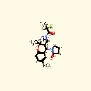 CC1(C)Oc2ccc([N+](=O)[O-])cc2C(N2CCCC2=O)=C1CNC(=O)C(F)(F)C(F)(F)F